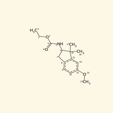 CCOC(=O)NC1Cc2ccc(OC)cc2C1(C)C